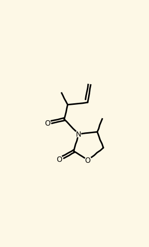 C=CC(C)C(=O)N1C(=O)OCC1C